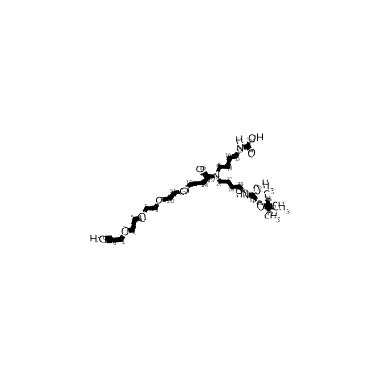 C#CCOCCOCCOCCOCCC(=O)N(CCCCNC(=O)O)CCCCNC(=O)OC(C)(C)C